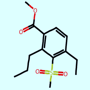 CCCc1c(C(=O)OC)ccc(CC)c1S(C)(=O)=O